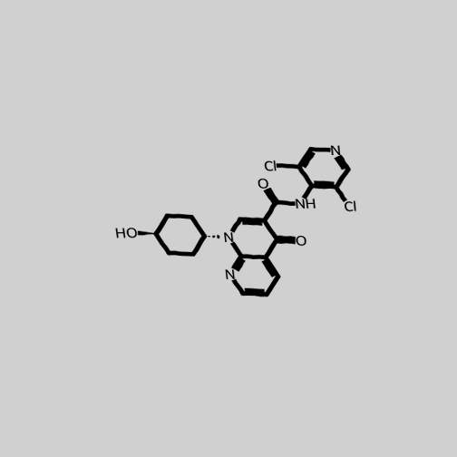 O=C(Nc1c(Cl)cncc1Cl)c1cn([C@H]2CC[C@H](O)CC2)c2ncccc2c1=O